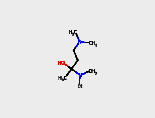 CCN(C)C(C)(O)CCN(C)C